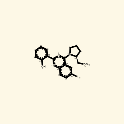 COC[C@@H]1CCCN1c1nc(-c2ccccc2O)nc2ccc(F)cc12